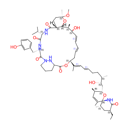 CC[C@H]1C[C@H](C)[C@@]2(NC1=O)O[C@@H](C[C@H](O)[C@@H](C)CC/C=C/C=C(\C)[C@@H]1C/C=C/C=C/[C@H](O)[C@H](C)[C@H]3O[C@](C)(OC)CC[C@H]3C(=O)N[C@@H](C(C)C)C(=O)N[C@@H](Cc3cccc(O)c3)C(=O)N3CCCC(N3)C(=O)O1)[C@H](C)C=C2C